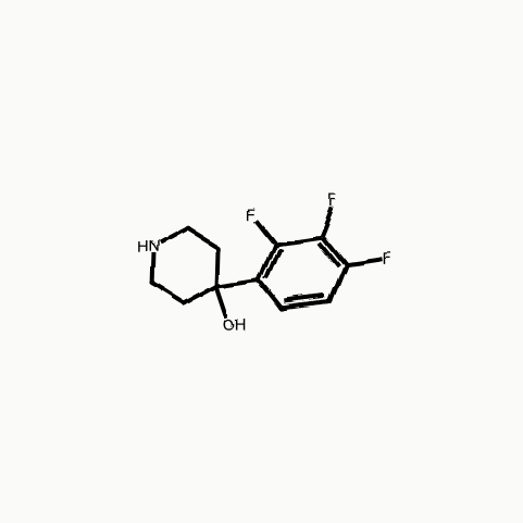 OC1(c2ccc(F)c(F)c2F)CCNCC1